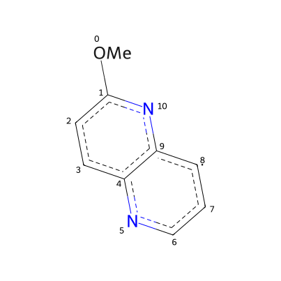 COc1ccc2ncc[c]c2n1